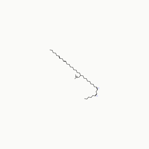 CCCCCC=CCC=CCCCCCCCCC(CCCCCCCC/C=C\C/C=C\CCCCC)CN(C)C